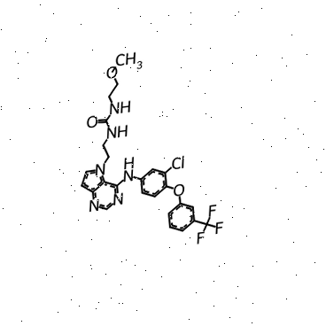 COCCNC(=O)NCCn1ccc2ncnc(Nc3ccc(Oc4cccc(C(F)(F)F)c4)c(Cl)c3)c21